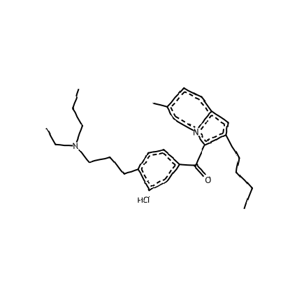 CCCCc1cc2ccc(C)cn2c1C(=O)c1ccc(CCCN(CC)CCC)cc1.Cl